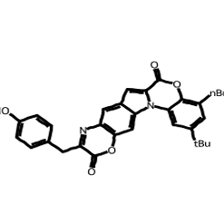 CCCCc1cc(C(C)(C)C)cc2c1oc(=O)c1cc3cc4nc(Cc5ccc(O)cc5)c(=O)oc4cc3n12